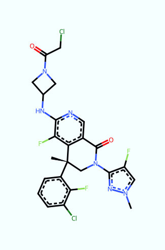 Cn1cc(F)c(N2C[C@](C)(c3cccc(Cl)c3F)c3c(cnc(NC4CN(C(=O)CCl)C4)c3F)C2=O)n1